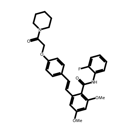 COc1cc(C=Cc2ccc(OCC(=O)N3CCCCC3)cc2)c(C(=O)Nc2ccccc2F)c(OC)c1